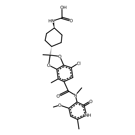 COc1cc(C)[nH]c(=O)c1N(C)C(=O)c1cc(Cl)c2c(c1C)OC(C)([C@H]1CC[C@H](NC(=O)O)CC1)O2